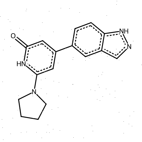 O=c1cc(-c2ccc3[nH]ncc3c2)cc(N2CCCC2)[nH]1